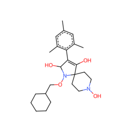 Cc1cc(C)c(C2=C(O)C3(CCN(O)CC3)N(OCC3CCCCC3)C2O)c(C)c1